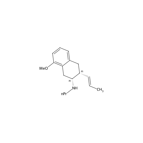 CC=C[C@H]1Cc2cccc(OC)c2C[C@H]1NCCC